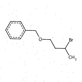 CC(Br)CCOCc1ccccc1